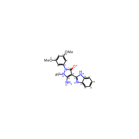 COc1cc(OC)cc(-n2c(=O)c(-c3nc4ccccc4[nH]3)c(N)n2C(C)C)c1